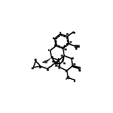 COC1C[C@@H]2[C@@H]3Cc4ccc(C)c(O)c4[C@]2(CCN3CC2CC2)CC1=O